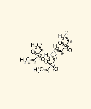 C=CS(=O)(=O)C=C.C=CS(=O)(=O)C=C.C=CS(=O)(=O)C=C